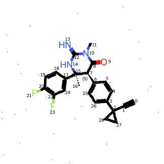 C#CC1(c2ccc([C@@H]3C(=O)N(C)C(=N)N[C@]3(C)c3ccc(F)c(F)c3)cc2)CC1